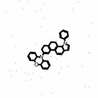 C1=CC2OC3C=CC=CC3N(C3=CC4=C(CC3)CCC3=C4C=CC4C=CN(c5ccccc5)C34)C2C=C1